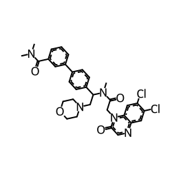 CN(C)C(=O)c1cccc(-c2ccc(C(CN3CCOCC3)N(C)C(=O)Cn3c(=O)cnc4cc(Cl)c(Cl)cc43)cc2)c1